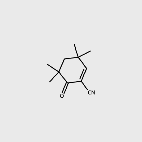 CC1(C)C=C(C#N)C(=O)C(C)(C)C1